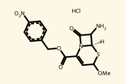 COC1C=C(C(=O)OCc2ccc([N+](=O)[O-])cc2)N2C(=O)C(N)[C@H]2S1.Cl